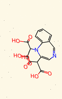 O=C(O)C(C(=O)O)C1=CN=Cc2ccccc2N1C(C(=O)O)C(=O)O